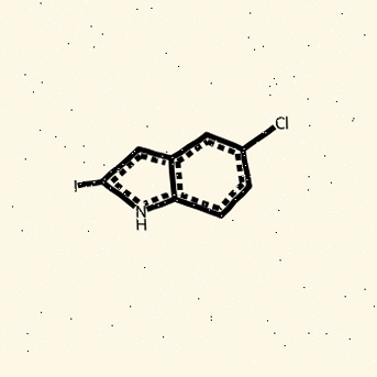 Clc1ccc2[nH]c(I)cc2c1